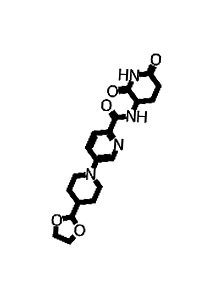 O=C1CCC(NC(=O)c2ccc(N3CCC(C4OCCO4)CC3)cn2)C(=O)N1